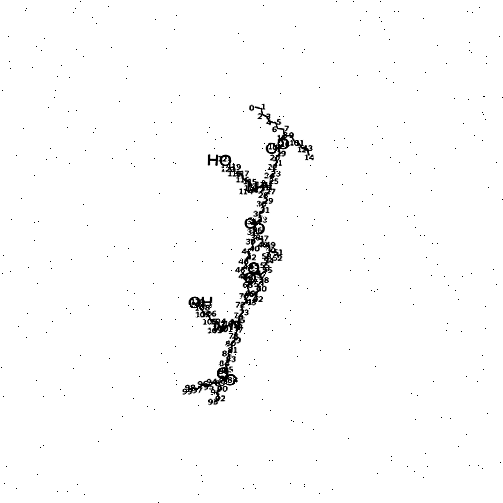 CCCCCCCCC(CCCCCC)COC(=O)CCCCCCCN(CCCCCCCC(=O)OCC(CCCCCCCC)CCCC(CC)CCCCC(CCCCCC)C(=O)OCCCCCCCCCN(CCCCCCCCCOC(=O)C(CCCC)CCCCCC)CCN(C)CCCCCCO)CCN(C)CCCCCCO